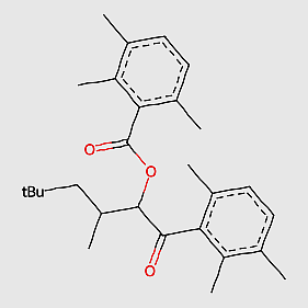 Cc1ccc(C)c(C(=O)OC(C(=O)c2c(C)ccc(C)c2C)C(C)CC(C)(C)C)c1C